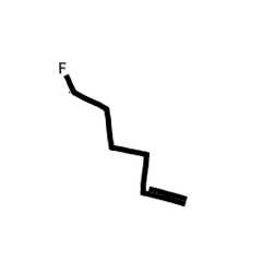 C=CCCC[CH]F